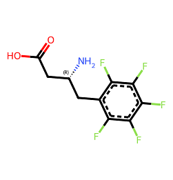 N[C@@H](CC(=O)O)Cc1c(F)c(F)c(F)c(F)c1F